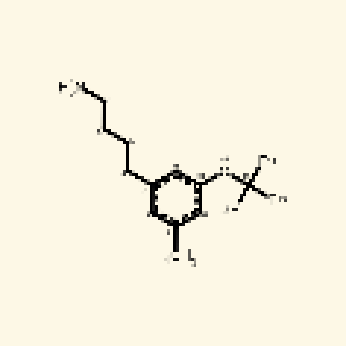 Cc1cc(CCCCN)cc(OC(F)(F)F)c1